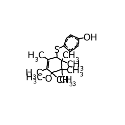 COC1(C)C(C)=C(C)C(Sc2ccc(O)cc2)C(C)(C)C1(C)C